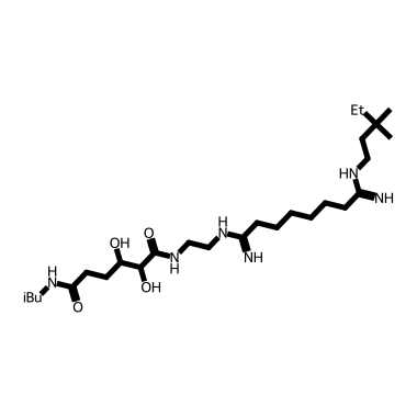 CCC(C)NC(=O)CCC(O)C(O)C(=O)NCCNC(=N)CCCCCCC(=N)NCCC(C)(C)CC